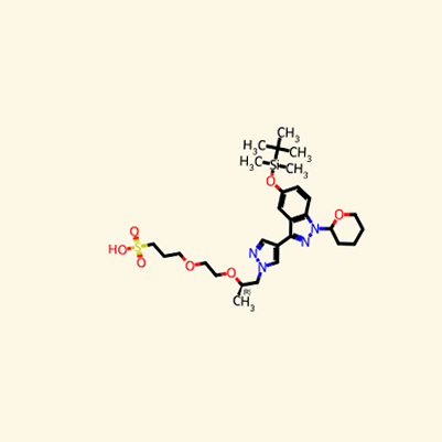 C[C@H](Cn1cc(-c2nn(C3CCCCO3)c3ccc(O[Si](C)(C)C(C)(C)C)cc23)cn1)OCCOCCCS(=O)(=O)O